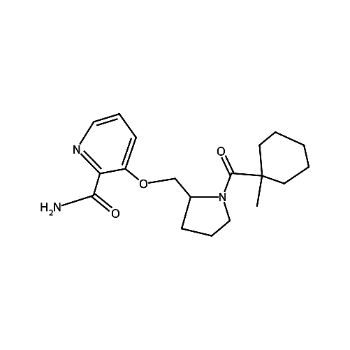 CC1(C(=O)N2CCCC2COc2cccnc2C(N)=O)CCCCC1